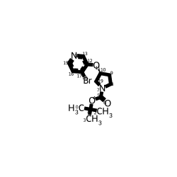 CC(C)(C)OC(=O)N1CC[C@@H](Oc2cnccc2Br)C1